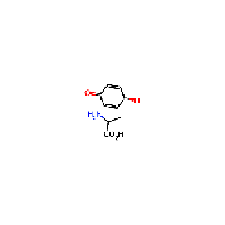 CC(N)C(=O)O.O=C1C=CC(=O)C=C1